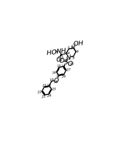 O=C(NO)[C@H]1C[C@H](O)CCN1S(=O)(=O)c1ccc(OCc2ccccc2)cc1